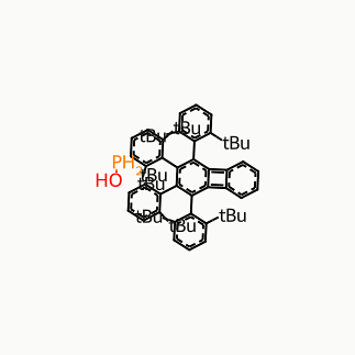 CC(C)(C)c1cccc(C(C)(C)C)c1-c1c(-c2c(C(C)(C)C)cccc2C(C)(C)C)c(-c2c(C(C)(C)C)cccc2C(C)(C)C)c2c(c1-c1c(C(C)(C)C)cccc1C(C)(C)C)=c1ccccc1=2.OP